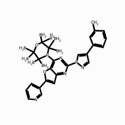 BC1(B)OC(B)(B)C(B)(B)N(c2nc(-n3cc(-c4cccc(C)c4)cn3)nc3cc(-c4cccnc4)oc23)C1(B)B